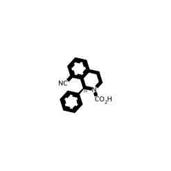 N#Cc1cccc2c1[C@H](c1ccccc1)N(C(=O)O)CC2